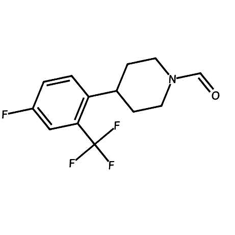 O=CN1CCC(c2ccc(F)cc2C(F)(F)F)CC1